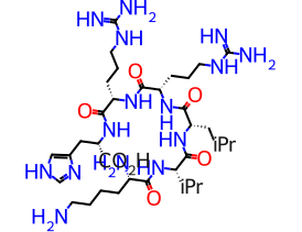 CC(C)C[C@H](NC(=O)[C@@H](NC(=O)[C@@H](N)CCCCN)C(C)C)C(=O)N[C@@H](CCCNC(=N)N)C(=O)N[C@@H](CCCNC(=N)N)C(=O)N[C@@H](Cc1c[nH]cn1)C(=O)O